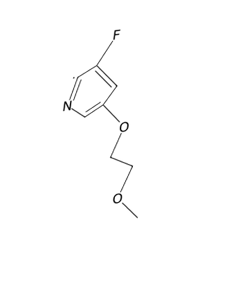 COCCOc1cn[c]c(F)c1